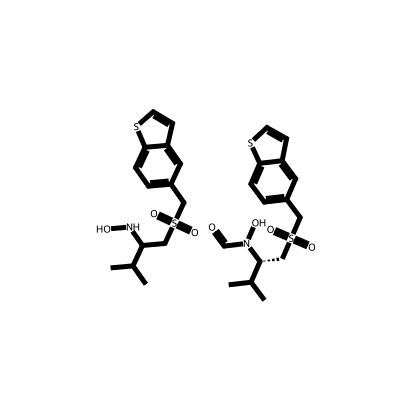 CC(C)C(CS(=O)(=O)Cc1ccc2sccc2c1)NO.CC(C)[C@@H](CS(=O)(=O)Cc1ccc2sccc2c1)N(O)C=O